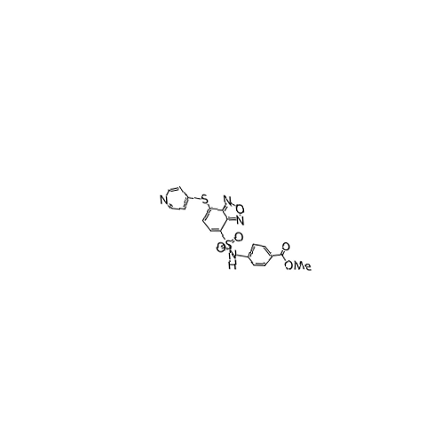 COC(=O)c1ccc(NS(=O)(=O)c2ccc(Sc3ccncc3)c3nonc23)cc1